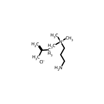 C=C(C)C.C[N+](C)(C)CCCN.[Cl-]